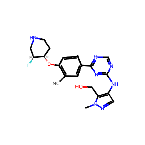 Cn1ncc(Nc2ncnc(-c3ccc(O[C@H]4CCNC[C@@H]4F)c(C#N)c3)n2)c1CO